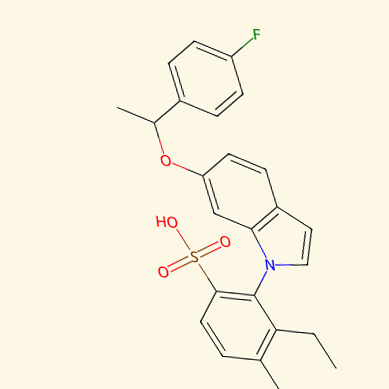 CCc1c(C)ccc(S(=O)(=O)O)c1-n1ccc2ccc(OC(C)c3ccc(F)cc3)cc21